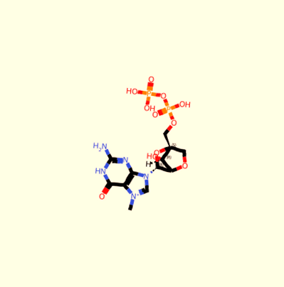 C[n+]1cn([C@@H]2O[C@]3(COP(=O)(O)OP(=O)(O)O)COC2[C@H]3O)c2nc(N)[nH]c(=O)c21